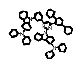 c1ccc(-c2ccc(-c3ccccc3)c(-c3cc(-c4cccc(-n5c6ccccc6c6cc(N(c7ccccc7)c7ccccc7)ccc65)c4)nc(-n4c5ccccc5c5cc(N(c6ccccc6)c6ccccc6)ccc54)n3)c2)cc1